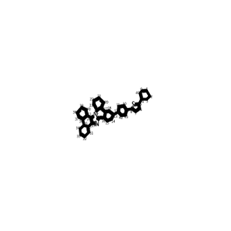 C1=CCCC(c2ccc(-c3ccc(-c4ccc5c(c4)c4ccccc4n4c6c(nc54)C4=CC=CCC4c4ccccc4-6)cc3)s2)=C1